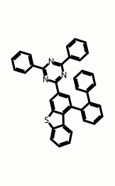 c1ccc(-c2nc(-c3ccccc3)nc(-c3cc(-c4ccccc4-c4ccccc4)c4c(c3)sc3ccccc34)n2)cc1